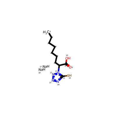 CCCCCCCC(C(=O)O)n1nnnc1S.[NaH].[NaH]